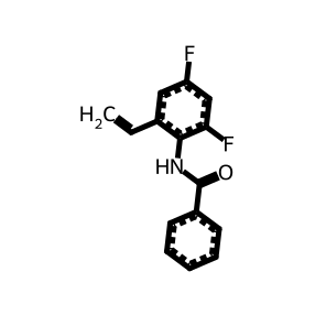 C=Cc1cc(F)cc(F)c1NC(=O)c1ccccc1